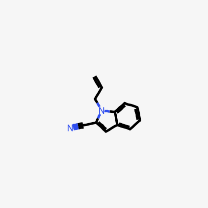 C=CCn1c(C#N)cc2ccccc21